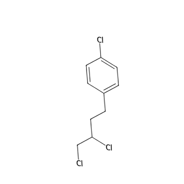 ClCC(Cl)CCc1ccc(Cl)cc1